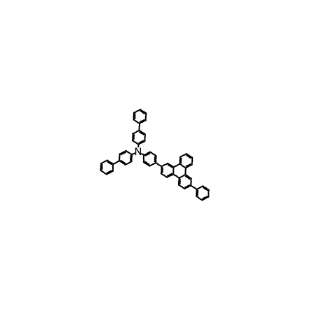 c1ccc(-c2ccc(N(c3ccc(-c4ccccc4)cc3)c3ccc(-c4ccc5c6ccc(-c7ccccc7)cc6c6ccccc6c5c4)cc3)cc2)cc1